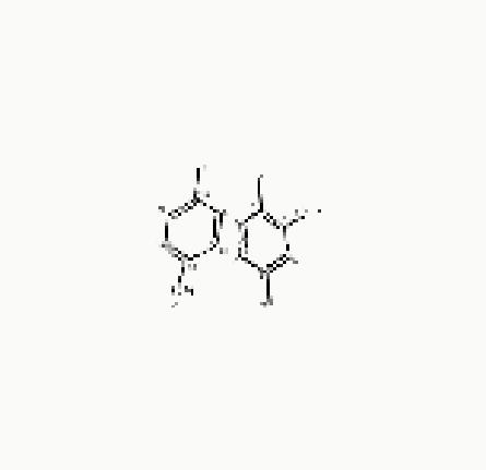 Cc1ccc(C)c(O)c1.Cc1ccc(O)cc1